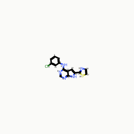 Clc1cccc(Nc2ncnc3[nH]c(-c4nccs4)cc23)c1